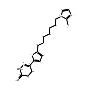 Cc1nccn1CCCCCCCc1ccc(C2=NNC(=O)CC2)s1